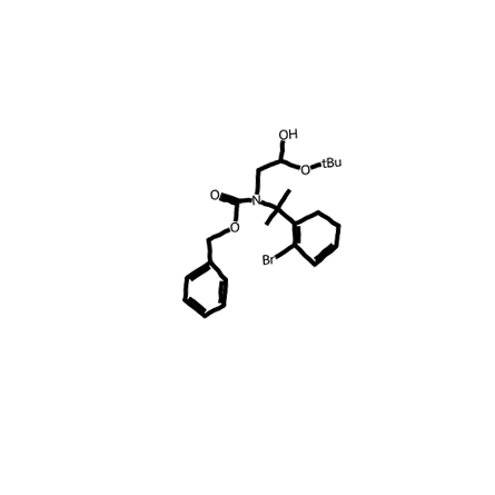 CC(C)(C)OC(O)CN(C(=O)OCc1ccccc1)C(C)(C)C1=C(Br)C=CCC1